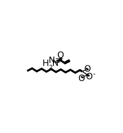 C=CC(N)=O.CCCCCCCCCCCCS(=O)(=O)[O-].[Na+]